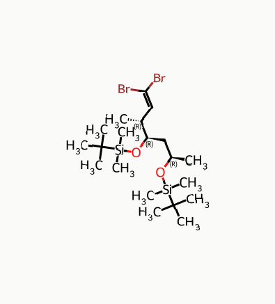 C[C@H](C[C@@H](O[Si](C)(C)C(C)(C)C)[C@H](C)C=C(Br)Br)O[Si](C)(C)C(C)(C)C